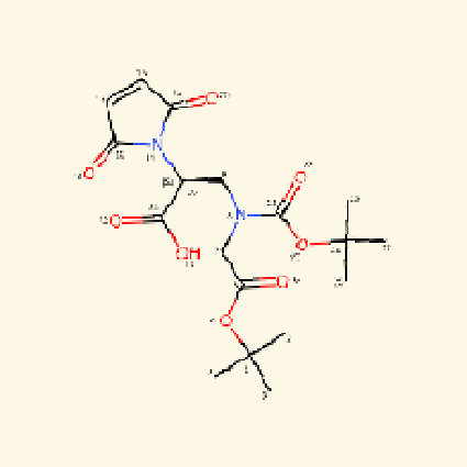 CC(C)(C)OC(=O)CN(C[C@@H](C(=O)O)N1C(=O)C=CC1=O)C(=O)OC(C)(C)C